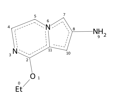 CCOc1nccn2cc(N)cc12